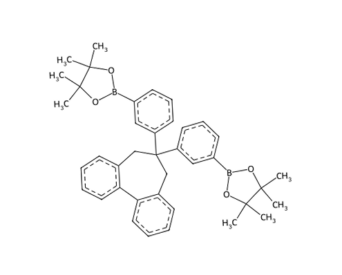 CC1(C)OB(c2cccc(C3(c4cccc(B5OC(C)(C)C(C)(C)O5)c4)Cc4ccccc4-c4ccccc4C3)c2)OC1(C)C